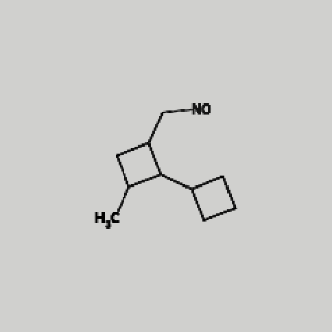 CC1CC(CN=O)C1C1CCC1